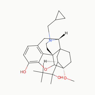 CO[C@@]12CCC3(C[C@@H]1C(C)(O)C(C)(C)C)[C@H]1Cc4ccc(O)c5c4[C@@]3(CCN1CC1CC1)C2O5